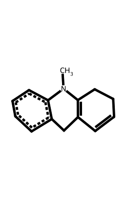 CN1C2=C(C=CCC2)Cc2ccccc21